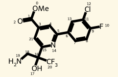 COC(=O)c1cc(-c2ccc(F)c(Cl)c2)nc(C(O)(CN)C(F)(F)F)c1